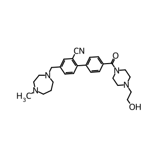 CN1CCCN(Cc2ccc(-c3ccc(C(=O)N4CCN(CCO)CC4)cc3)c(C#N)c2)CC1